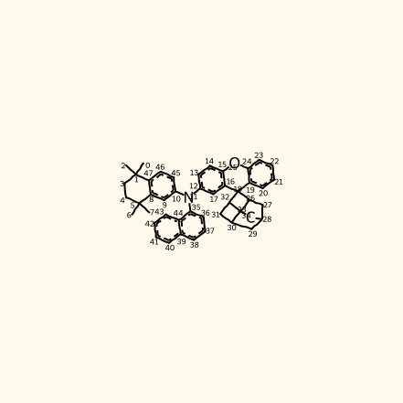 CC1(C)CCC(C)(C)c2cc(N(c3ccc4c(c3)C3(c5ccccc5O4)C4CC5CC6CC3C64C5)c3cccc4ccccc34)ccc21